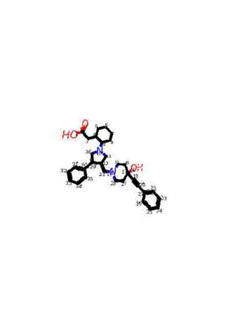 O=C(O)CC1CCCCC1N1CC(CN2CCC(O)(C#Cc3ccccc3)CC2)C(c2ccccc2)C1